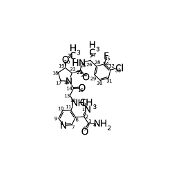 C/N=C(/C(N)=O)c1cnccc1NCC(=O)N1CC[C@@H](OC)[C@H]1C(=O)N[C@H](C)c1cccc(Cl)c1F